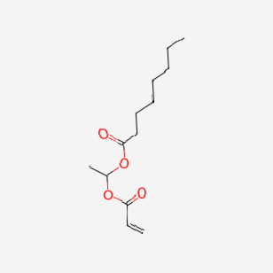 C=CC(=O)OC(C)OC(=O)CCCCCCC